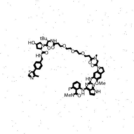 CNC(=O)c1c(F)cccc1Nc1nc(Nc2cc3c(cc2OC)CCN3C(=O)CN(C)C(=O)CCOCCOCCOCCC(=O)N[C@H](C(=O)N2C[C@H](O)C[C@H]2C(=O)NCc2ccc(-c3scnc3C)cc2)C(C)(C)C)nc2[nH]ccc12